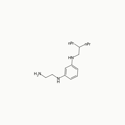 CCCC(CCC)CNc1cccc(NCCN)c1